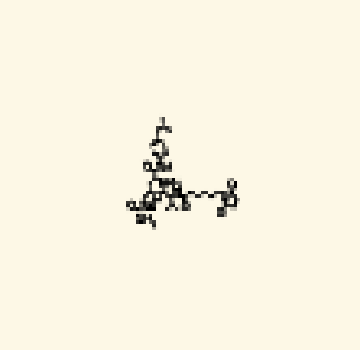 CC(C)Cc1ccc(NC(=O)C(CCCNC(N)=O)NC(=O)C(NC(=O)CCCCCN2C(=O)C=CC2=O)C(C)C)cc1